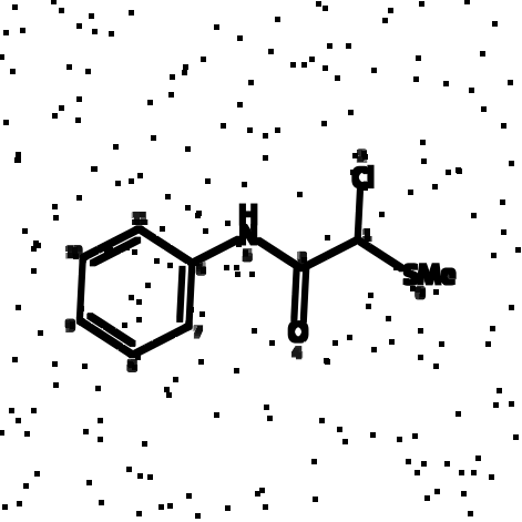 CSC(Cl)C(=O)Nc1ccccc1